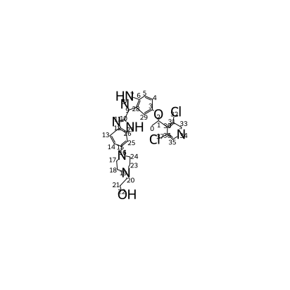 CC(Oc1ccc2[nH]nc(-c3nc4ccc(N5CCN(CCO)CC5)cc4[nH]3)c2c1)c1c(Cl)cncc1Cl